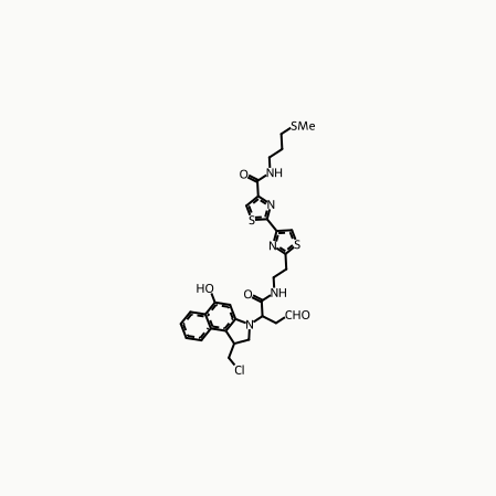 CSCCCNC(=O)c1csc(-c2csc(CCNC(=O)C(CC=O)N3CC(CCl)c4c3cc(O)c3ccccc43)n2)n1